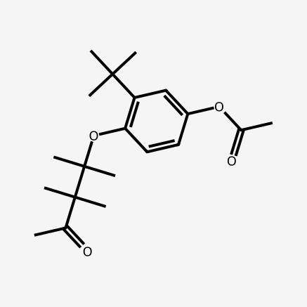 CC(=O)Oc1ccc(OC(C)(C)C(C)(C)C(C)=O)c(C(C)(C)C)c1